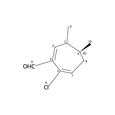 CC1C=C(C=O)C(Cl)=CC[C@@H]1C